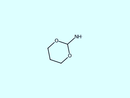 [NH]C1OCCCO1